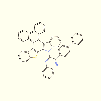 c1ccc(-c2ccc(-c3nc4ccccc4nc3-n3c4ccccc4c4c5c6ccccc6c6ccccc6c5c5c6ccccc6sc5c43)cc2)cc1